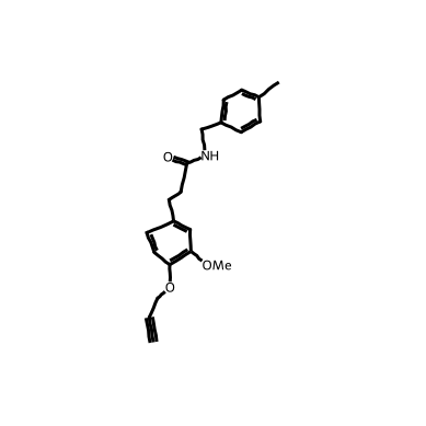 C#CCOc1ccc(CCC(=O)NCc2ccc(C)cc2)cc1OC